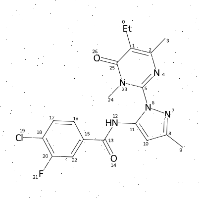 CCc1c(C)nc(-n2nc(C)cc2NC(=O)c2ccc(Cl)c(F)c2)n(C)c1=O